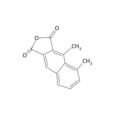 Cc1cccc2cc3c(c(C)c12)C(=O)OC3=O